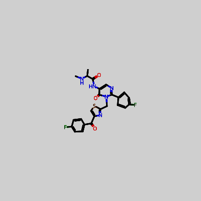 CNC(C)C(=O)Nc1cnc(-c2ccc(F)cc2)n(Cc2nc(C(=O)c3ccc(F)cc3)cs2)c1=O